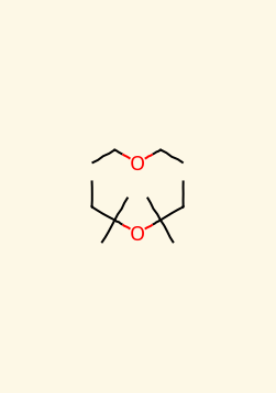 CCC(C)(C)OC(C)(C)CC.CCOCC